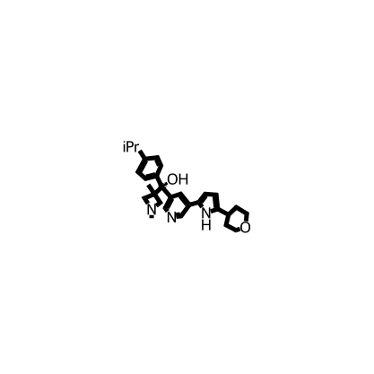 CC(C)c1ccc([C@](O)(c2cncc(-c3ccc(C4CCOCC4)[nH]3)c2)C2(C)CN(C)C2)cc1